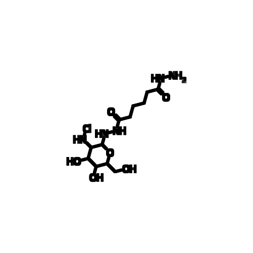 NNC(=O)CCCCC(=O)NNC1OC(CO)C(O)C(O)C1NCl